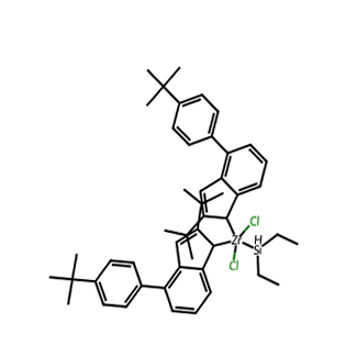 CC[SiH](CC)[Zr]([Cl])([Cl])([CH]1C(C(C)C)=Cc2c(-c3ccc(C(C)(C)C)cc3)cccc21)[CH]1C(C(C)C)=Cc2c(-c3ccc(C(C)(C)C)cc3)cccc21